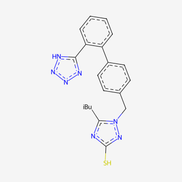 CCC(C)c1nc(S)nn1Cc1ccc(-c2ccccc2-c2nnn[nH]2)cc1